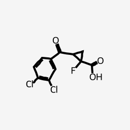 O=C(c1ccc(Cl)c(Cl)c1)C1CC1(F)C(=O)O